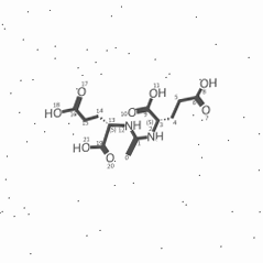 C=C(N[C@@H](CCC(=O)O)C(=O)O)N[C@@H](CCC(=O)O)C(=O)O